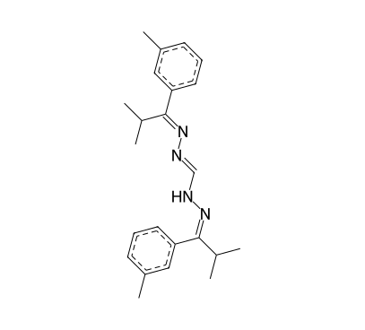 Cc1cccc(C(=NN=CNN=C(c2cccc(C)c2)C(C)C)C(C)C)c1